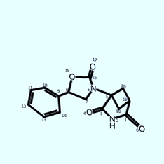 O=C1NC(=O)C2(N3CC(c4ccccc4)OC3=O)CC1C2